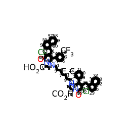 O=C(O)C1CN(CCCCCCCN2CC(C(=O)O)n3c2c(-c2cccc(C(F)(F)F)c2)c(Cc2cccc4ccccc24)c(Cl)c3=O)c2c(-c3cccc(C(F)(F)F)c3)c(Cc3cccc4ccccc34)c(Cl)c(=O)n21